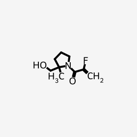 C=C(F)C(=O)N1CCCC1(C)CO